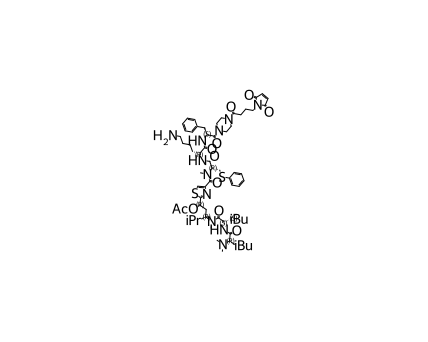 CCC(C)[C@H](C(=O)N[C@H](C(=O)N(C)[C@H](C[C@@H](OC(C)=O)c1nc(C(=O)N(C)[C@@H](CSc2ccccc2)C(=O)N[C@H](CCCCN)C(=O)N[C@@H](Cc2ccccc2)C(=O)N2CCN(C(=O)CCCN3C(=O)C=CC3=O)CC2)cs1)C(C)C)[C@@H](C)CC)N(C)C